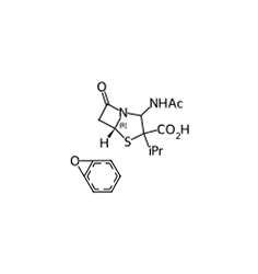 CC(=O)NC1N2C(=O)C[C@H]2SC1(C(=O)O)C(C)C.c1ccc2c(c1)O2